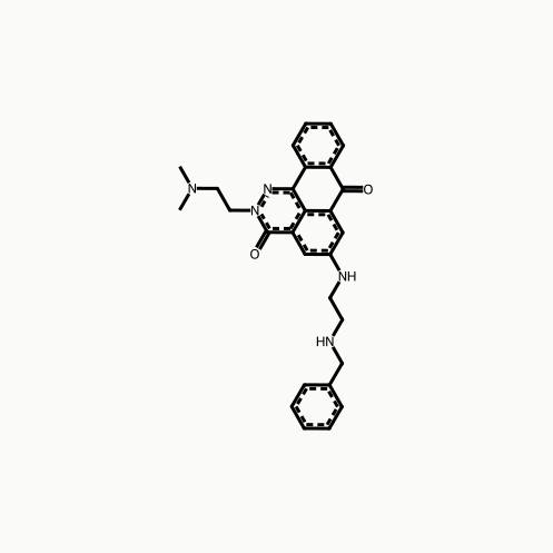 CN(C)CCn1nc2c3c(cc(NCCNCc4ccccc4)cc3c1=O)C(=O)c1ccccc1-2